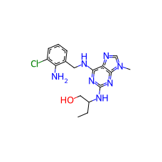 CCC(CO)Nc1nc(NCc2cccc(Cl)c2N)c2ncn(C)c2n1